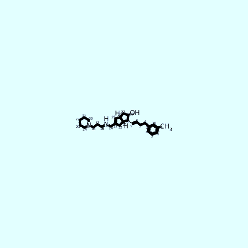 Cc1cccc(CC/C=C/[C@@H]2[C@H]3CC(CNCCCN4CCCCC4)=C[C@H]3C[C@H]2O)c1